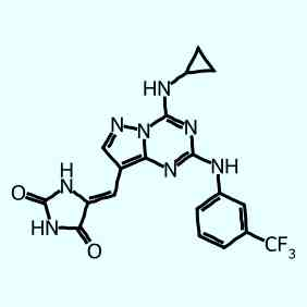 O=C1NC(=O)/C(=C/c2cnn3c(NC4CC4)nc(Nc4cccc(C(F)(F)F)c4)nc23)N1